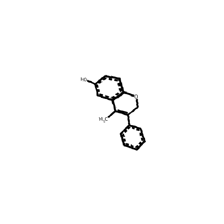 CC1=C(c2ccccc2)COc2ccc(O)cc21